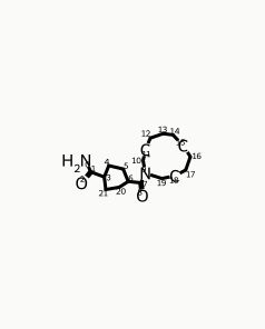 NC(=O)C1CCC(C(=O)N2CCCCCCCCCC2)CC1